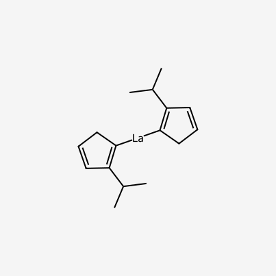 CC(C)C1=[C]([La][C]2=C(C(C)C)C=CC2)CC=C1